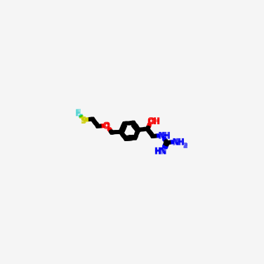 N=C(N)NCC(O)c1ccc(COCCSF)cc1